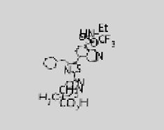 CCC(NS(=O)(=O)c1ccc(-c2sc(-c3nnc(CC(C)(C)C(=O)O)o3)nc2CC2CCCCC2)c2ccncc12)C(F)(F)F